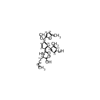 COC(c1ccc(C(=O)NC(CCSC)C(=O)O)c(-c2ccccc2C)c1)c1ccc(C)o1.[LiH]